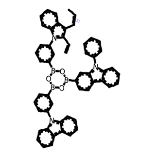 C=Cc1c(/C=C\C)c2ccccc2n1-c1cccc(B2OB(c3cccc(-n4c5ccccc5c5ccccc54)c3)OB(c3ccc4c5ccccc5n(-c5ccccc5)c4c3)O2)c1